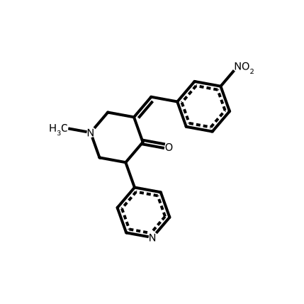 CN1CC(=Cc2cccc([N+](=O)[O-])c2)C(=O)C(c2ccncc2)C1